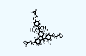 CC(C)(c1ccc(OCC2CC2)cc1)c1ccc(C(C)(c2ccc(OCC3CO3)cc2)c2ccc(OCC3CO3)cc2)cc1